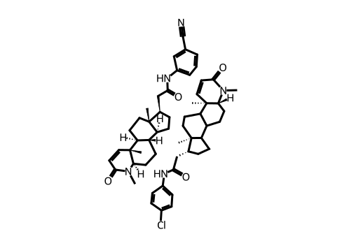 CN1C(=O)C=C[C@]2(C)C3CC[C@@]4(C)C(CC[C@@H]4CC(=O)Nc4ccc(Cl)cc4)C3CC[C@@H]12.CN1C(=O)C=C[C@]2(C)[C@H]3CC[C@]4(C)[C@@H](CC(=O)Nc5cccc(C#N)c5)CC[C@H]4[C@@H]3CC[C@@H]12